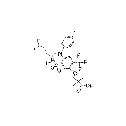 CC(C)(COc1cc2c(cc1C(F)(F)F)N(c1ccc(F)cc1)C[C@H](CCC(F)F)[C@H](F)S2(=O)=O)C(=O)O